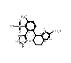 NS(=O)(=O)c1c(C(F)(F)F)ccc(C2CCCc3sc(C(=O)O)nc32)c1C1=NNNN1